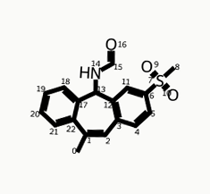 CC1=Cc2ccc(S(C)(=O)=O)cc2C(NC=O)c2ccccc21